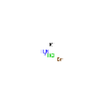 Cl.N.[Br-].[K+]